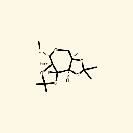 CO[C@@H]1OC[C@H]2OC(C)(C)O[C@H]2[C@@H]2OC(C)(C)O[C@@H]12